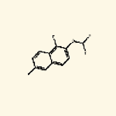 Cc1ccc2c(F)c(OC(F)F)ccc2c1